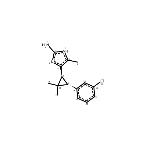 Cc1[nH]c(N)nc1[C@H]1[C@H](c2cccc(Cl)c2)C1(C)C